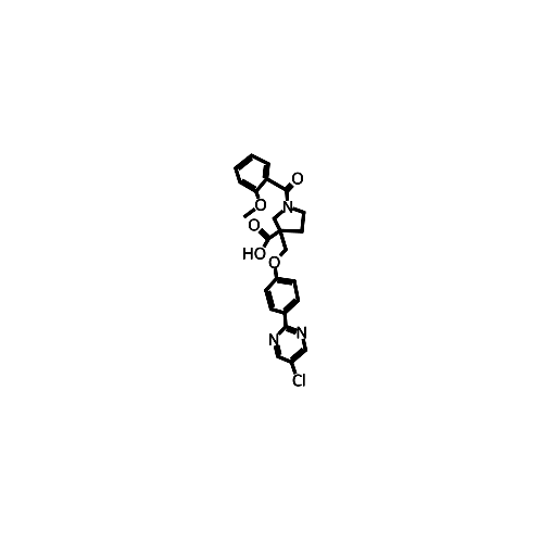 COc1ccccc1C(=O)N1CCC(COc2ccc(-c3ncc(Cl)cn3)cc2)(C(=O)O)C1